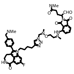 CNCc1ccc(-c2c3c4c(cc(F)cc4n2CCCCc2cn(CN(C)OCCN(C)Nc4cccc5c4C(=O)N(C(C=O)CCC(=O)NC)C5=O)nn2)C(=O)NCC3)cc1